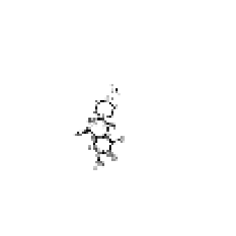 CN1CCC2(CC1)NC(=O)c1cc(O)c(I)c(Br)c1N2